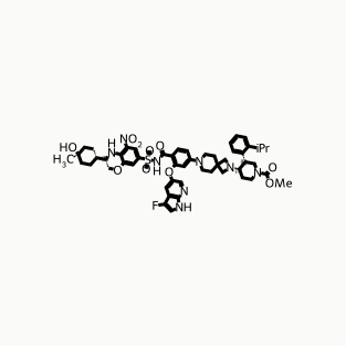 COC(=O)N1CC[C@H](N2CC3(CCN(c4ccc(C(=O)NS(=O)(=O)c5cc6c(c([N+](=O)[O-])c5)N[C@@H]([C@H]5CC[C@](C)(O)CC5)CO6)c(Oc5cnc6[nH]cc(F)c6c5)c4)CC3)C2)[C@H](c2ccccc2C(C)C)C1